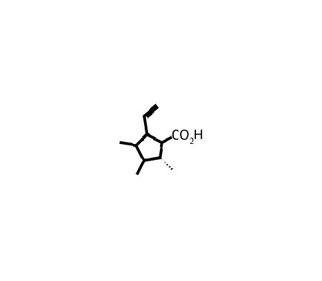 C=CC1C(C)C(C)[C@@H](C)C1C(=O)O